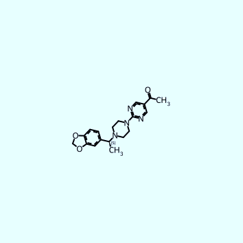 CC(=O)c1cnc(N2CCN([C@@H](C)c3ccc4c(c3)OCO4)CC2)nc1